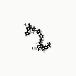 Cc1ncsc1-c1ccc([C@H](C)NC(=O)[C@@H]2C[C@@H](O)CN2C(=O)C(c2cc(N3CCC(Oc4cnc(N5CCC(n6nc(N)c7nnc(-c8ccccc8O)cc76)CC5)nc4)CC3)no2)C(C)C)cc1